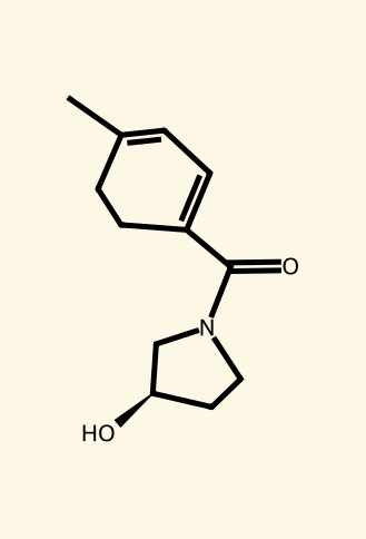 CC1=CC=C(C(=O)N2CC[C@@H](O)C2)CC1